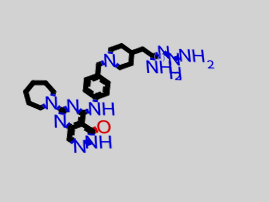 NN/N=C(\N)CC1CCN(Cc2ccc(Nc3nc(N4CCCCCC4)nc4cn[nH]c(=O)c34)cc2)CC1